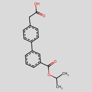 CC(C)OC(=O)c1cccc(-c2ccc(CC(=O)O)cc2)c1